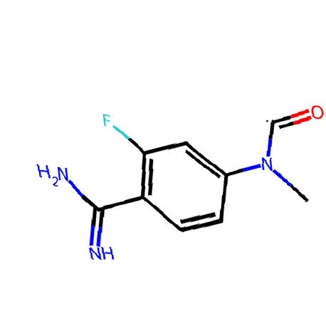 CN([C]=O)c1ccc(C(=N)N)c(F)c1